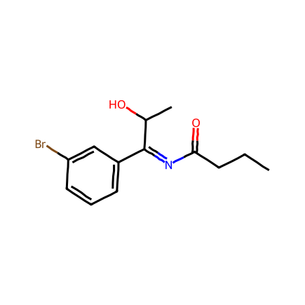 CCCC(=O)/N=C(/c1cccc(Br)c1)C(C)O